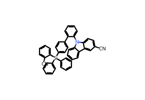 N#Cc1ccc2c(c1)c1ccccc1n2-c1ccccc1-c1ccc([Si](c2ccccc2)(c2ccccc2)c2ccccc2C#N)cc1